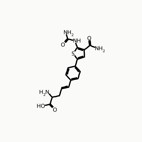 NC(=O)Nc1sc(-c2ccc(/C=C/CC(N)C(=O)O)cc2)cc1C(N)=O